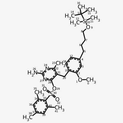 COc1cc(CCCCO[Si](C)(C)C(C)(C)C)ccc1Cc1c(C)nc(N)nc1OS(=O)(=O)c1c(C)cc(C)cc1C